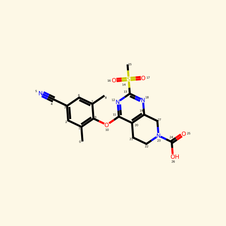 Cc1cc(C#N)cc(C)c1Oc1nc(S(C)(=O)=O)nc2c1CCN(C(=O)O)C2